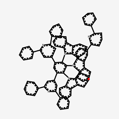 c1ccc(-c2cccc(-c3ccc4c(c3)c3ccccc3n4-c3c(-n4c5ccccc5c5ccccc54)c(-c4cc(-c5ccccc5)nc(-c5ccccc5)c4)cc(-c4cc(-c5ccccc5)nc(-c5ccccc5)c4)c3-n3c4ccccc4c4ccccc43)n2)cc1